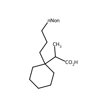 CCCCCCCCCCCCC1(C(C)C(=O)O)CCCCC1